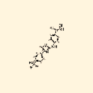 O=C(NO)c1ccc(Nc2nc(-c3ccc(C(F)(F)F)cc3)co2)cn1